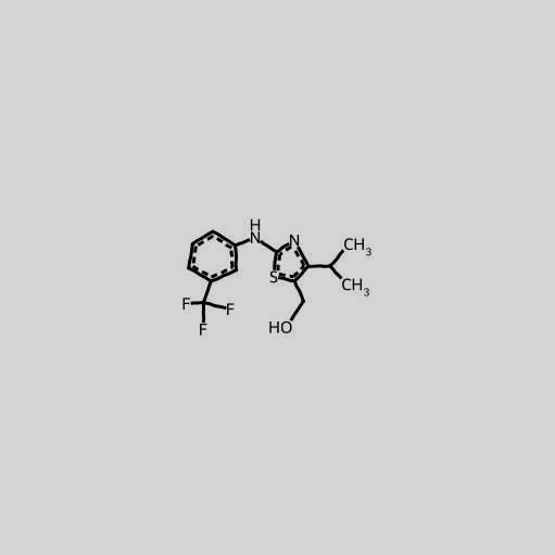 CC(C)c1nc(Nc2cccc(C(F)(F)F)c2)sc1CO